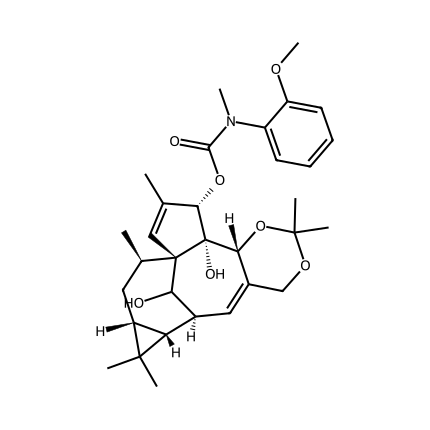 COc1ccccc1N(C)C(=O)O[C@H]1C(C)=C[C@]23C(O)[C@@H](C=C4COC(C)(C)O[C@H]4[C@]12O)[C@H]1[C@@H](C[C@H]3C)C1(C)C